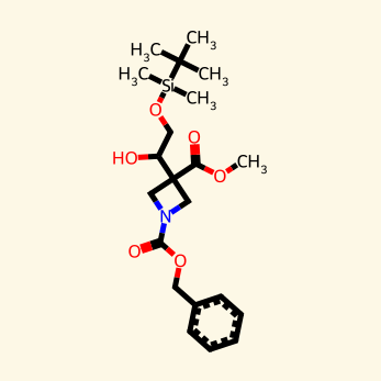 COC(=O)C1(C(O)CO[Si](C)(C)C(C)(C)C)CN(C(=O)OCc2ccccc2)C1